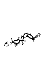 CCCc1ccc2c(c1)CCc1cc(-c3cc(F)c(C(F)(F)F)c(F)c3)c(F)cc1-2